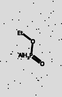 CCOP=O.[AlH3]